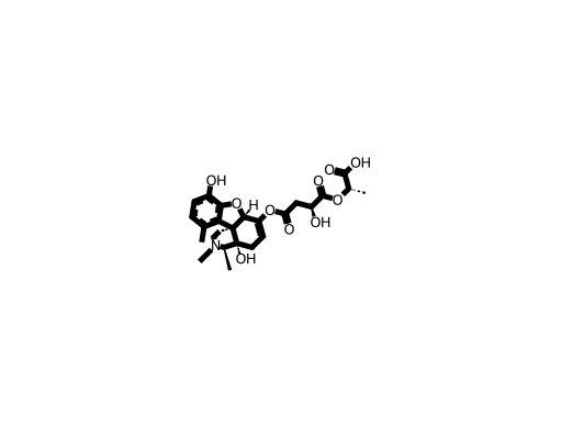 Cc1ccc(O)c2c1[C@]13CCN(C)[C@H](C)[C@]1(O)CC=C(OC(=O)C[C@H](O)C(=O)O[C@@H](C)C(=O)O)[C@@H]3O2